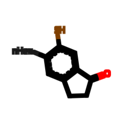 CCCCCCc1cc2c(cc1S)C(=O)CC2